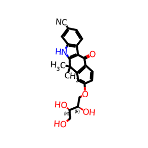 CC1(C)c2cc(OC[C@@H](O)[C@H](O)CO)ccc2C(=O)c2c1[nH]c1cc(C#N)ccc21